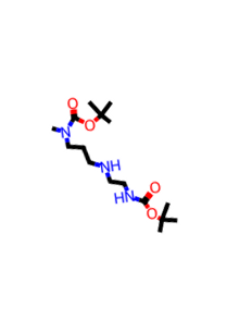 CN(CCCNCCNC(=O)OC(C)(C)C)C(=O)OC(C)(C)C